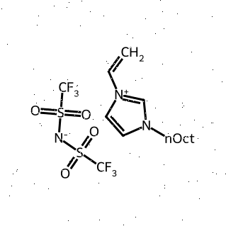 C=C[n+]1ccn(CCCCCCCC)c1.O=S(=O)([N-]S(=O)(=O)C(F)(F)F)C(F)(F)F